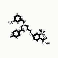 COC(=O)c1ccc(OCCCN(Cc2cccc(C(F)(F)F)c2)CC(C)c2ccc(F)cc2)cc1S(C)(=O)=O